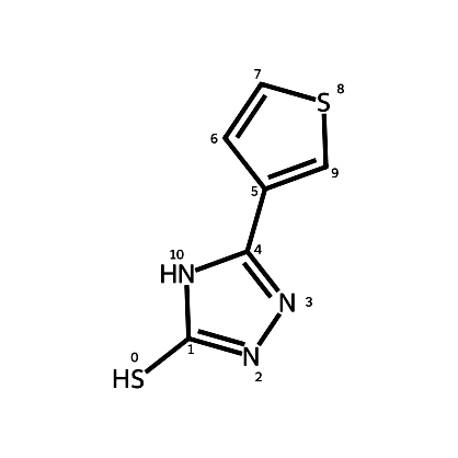 Sc1nnc(-c2ccsc2)[nH]1